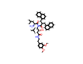 COc1ccc(CCNC(=O)C[C@H](O)[C@H](CC(C)C)N(C(=O)C(Cc2cccc3ccccc23)Cc2cccc3ccccc23)C(=O)[C@@H](N)CC(C)C)cc1OC